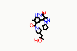 Cc1cc2[nH]c(=O)c3cnn(C4CCCC4)c3c2cc1C(=O)N1CCC(CC(C)(C)O)CC1